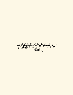 CCCCCCCCCCCCCCCCCC(=O)OC(CO)CO.[CaH2]